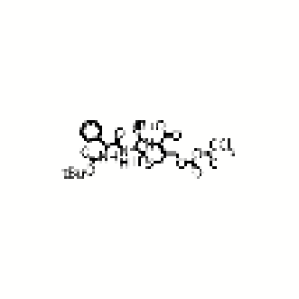 CC(C)COC(=O)C1=C(COC(=O)OC(Cl)C(Cl)(Cl)Cl)CS[C@@H]2[C@H](NC(=O)C(NC(=O)OC(C)(C)C)c3ccccc3)C(=O)N12